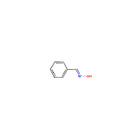 O[N+]=Cc1ccccc1